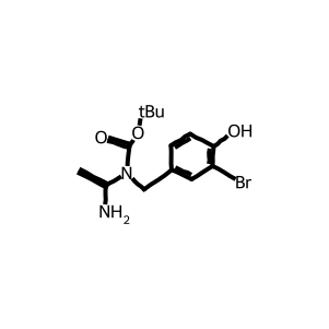 C=C(N)N(Cc1ccc(O)c(Br)c1)C(=O)OC(C)(C)C